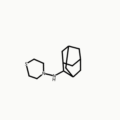 C1CN(NC2C3CC4CC(C3)CC2C4)CCS1